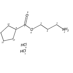 Cl.Cl.NCCCOC(=O)C1CCCC1